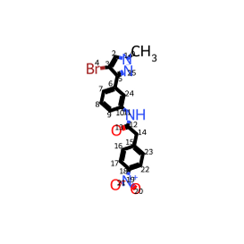 Cn1cc(Br)c(-c2cccc(NC(=O)Cc3ccc([N+](=O)[O-])cc3)c2)n1